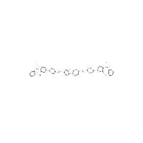 CN1c2ccccc2C2(CCCC2)c2ccc(-c3ccc(/C=C/c4ccc5c(c4)C(C)(C)c4cc(/C=C/c6ccc(-c7ccc8c(c7)N(C)c7ccccc7C87CCCC7)cc6)ccc4-5)cc3)cc21